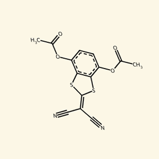 CC(=O)Oc1ccc(OC(C)=O)c2c1SC(=C(C#N)C#N)S2